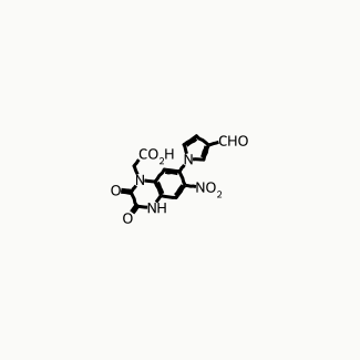 O=Cc1ccn(-c2cc3c(cc2[N+](=O)[O-])[nH]c(=O)c(=O)n3CC(=O)O)c1